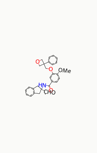 COc1ccc(C(=O)NC2([C]=O)Cc3ccccc3C2)cc1OCC1(c2ccccc2)COC1